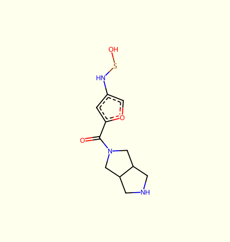 O=C(c1cc(NSO)co1)N1CC2CNCC2C1